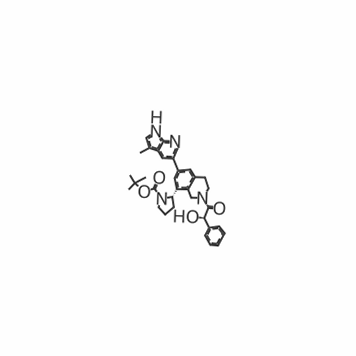 Cc1c[nH]c2ncc(-c3cc4c(c([C@@H]5CCCN5C(=O)OC(C)(C)C)c3)CN(C(=O)[C@H](O)c3ccccc3)CC4)cc12